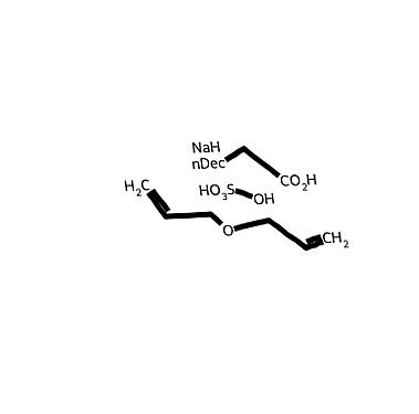 C=CCOCC=C.CCCCCCCCCCCC(=O)O.O=S(=O)(O)O.[NaH]